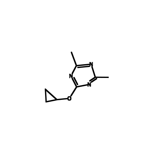 Cc1nc(C)nc(OC2CC2)n1